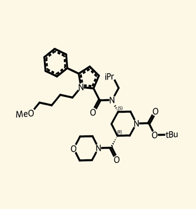 COCCCCn1c(C(=O)N(CC(C)C)[C@H]2C[C@@H](C(=O)N3CCOCC3)CN(C(=O)OC(C)(C)C)C2)ccc1-c1ccccc1